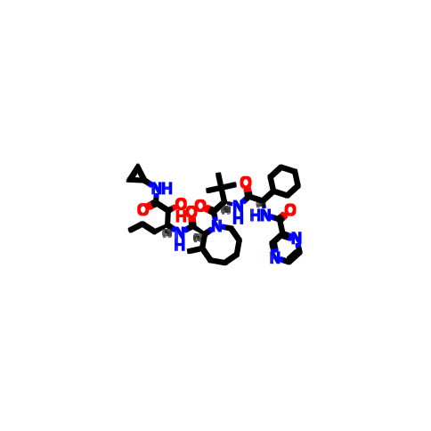 CCC[C@H](NC(=O)[C@@H]1C(C)CCCCCN1C(=O)[C@@H](NC(=O)[C@@H](NC(=O)c1cnccn1)C1CCCCC1)C(C)(C)C)C(O)C(=O)NC1CC1